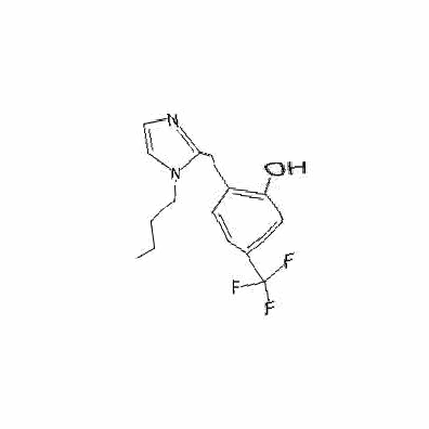 CCCCn1ccnc1Cc1ccc(C(F)(F)F)cc1O